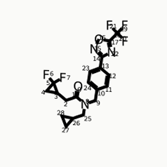 O=C(CC1CC1(F)F)N(Cc1ccc(-c2noc(C(F)(F)F)n2)cc1)CC1CC1